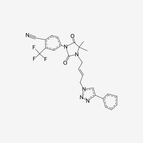 CC1(C)C(=O)N(c2ccc(C#N)c(C(F)(F)F)c2)C(=O)N1CC=CCn1cc(-c2ccccc2)nn1